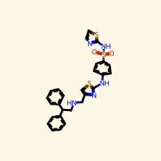 O=S(=O)(Nc1nccs1)c1ccc(Nc2nc(CNCC(c3ccccc3)c3ccccc3)cs2)cc1